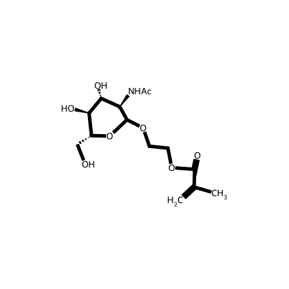 C=C(C)C(=O)OCCOC1O[C@H](CO)[C@@H](O)[C@H](O)[C@H]1NC(C)=O